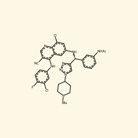 CC(=O)Nc1cccc([C@H](Nc2cc(Cl)c3ncc(C#N)c(Nc4ccc(F)c(Cl)c4)c3c2)c2cn(C3CCN(C(C)(C)C)CC3)nn2)c1